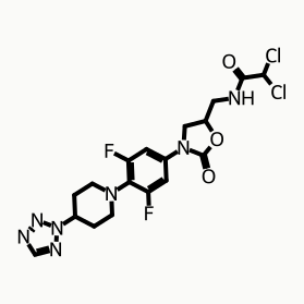 O=C(NCC1CN(c2cc(F)c(N3CCC(n4ncnn4)CC3)c(F)c2)C(=O)O1)C(Cl)Cl